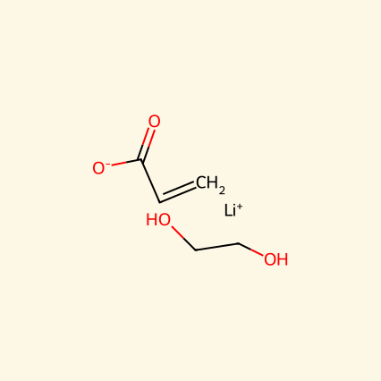 C=CC(=O)[O-].OCCO.[Li+]